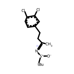 C/C(CCc1ccc(Cl)c(Cl)c1)=N\[S+]([O-])C(C)(C)C